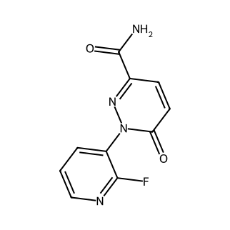 NC(=O)c1ccc(=O)n(-c2cccnc2F)n1